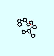 c1ccc(-c2cc(-c3ccccc3)cc(N(c3ccc(-c4cccc(-c5cccc6ccccc56)c4)cc3)c3ccccc3-c3ccccc3)c2)cc1